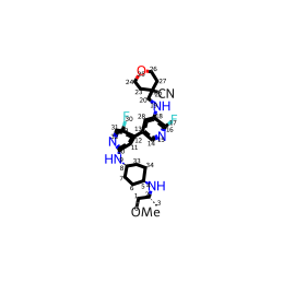 COC[C@@H](C)N[C@H]1CC[C@H](Nc2cc(-c3cnc(F)c(NCC4(C#N)CCOCC4)c3)c(F)cn2)CC1